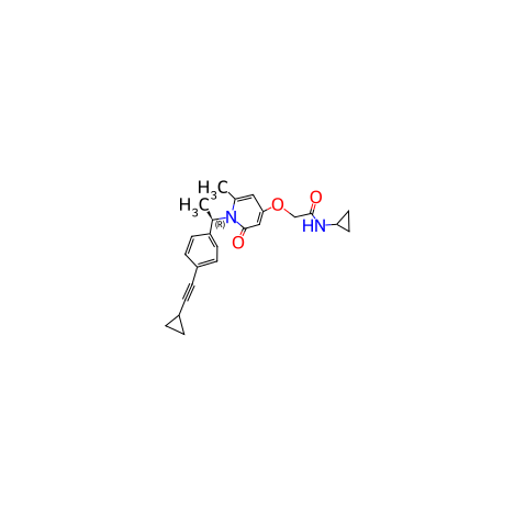 Cc1cc(OCC(=O)NC2CC2)cc(=O)n1[C@H](C)c1ccc(C#CC2CC2)cc1